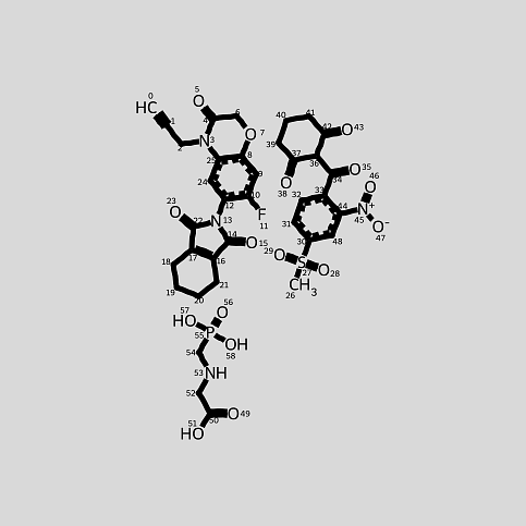 C#CCN1C(=O)COc2cc(F)c(N3C(=O)C4=C(CCCC4)C3=O)cc21.CS(=O)(=O)c1ccc(C(=O)C2C(=O)CCCC2=O)c([N+](=O)[O-])c1.O=C(O)CNCP(=O)(O)O